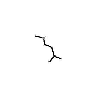 C[N]CCC(C)C